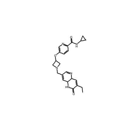 CCC1=CC2N=CC(CN3CC(Oc4ccc(C(=O)NC5CC5)nc4)C3)=CC2NC1=O